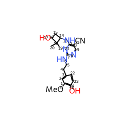 COc1cc(CCNc2ncc(C#N)c(N[C@@H]3C[C@H](O)C3(C)C)n2)ccc1O